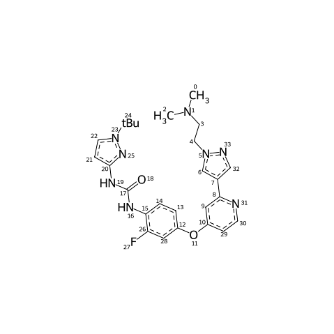 CN(C)CCn1cc(-c2cc(Oc3ccc(NC(=O)Nc4ccn(C(C)(C)C)n4)c(F)c3)ccn2)cn1